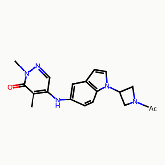 CC(=O)N1CC(n2ccc3cc(Nc4cnn(C)c(=O)c4C)ccc32)C1